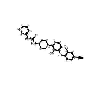 C#Cc1ccc(Oc2ccnc(N3CCC(NC(=S)Nc4cccnc4)CC3)c2Cl)c(Cl)c1